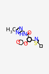 Cc1cnc(CNC(=O)c2cc(OC3CCOCC3)cc(-c3ncc(C4CCC4)s3)c2)cn1